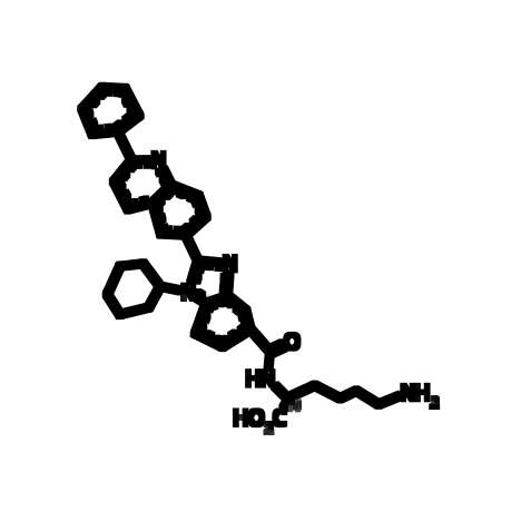 NCCCC[C@H](NC(=O)c1ccc2c(c1)nc(-c1ccc3nc(-c4ccccc4)ccc3c1)n2C1CCCCC1)C(=O)O